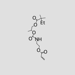 C=CC(=O)OCCNC(=O)OC(C)COC(=O)C(C)(C)CC